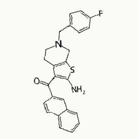 Nc1sc2c(c1C(=O)c1ccc3ccccc3c1)CCN(Cc1ccc(F)cc1)C2